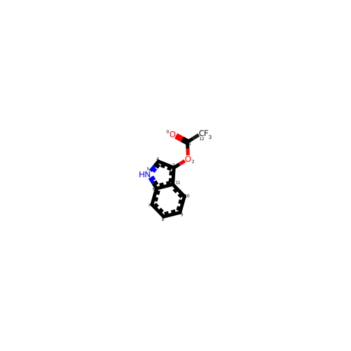 O=C(Oc1c[nH]c2ccccc12)C(F)(F)F